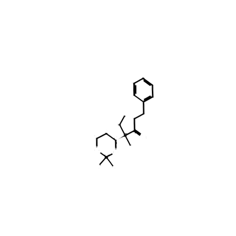 CCC(C)(C(=O)CCc1ccccc1)[C@@H]1CCOC(C)(C)O1